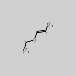 FC(F)(F)/C=C/OCC(F)(F)F